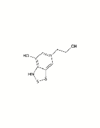 OCCc1cc(O)c2c(c1)SSN2